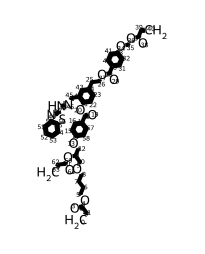 C=CC(=O)OCCCCOCC(COc1ccc(C(=O)Oc2ccc(CCOC(=O)c3ccc(OCOC(=O)C=C)cc3)cc2/C=N/Nc2nc3ccccc3s2)cc1)OC(=O)C=C